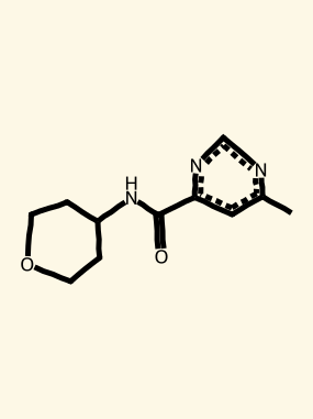 Cc1cc(C(=O)NC2CCOCC2)ncn1